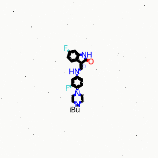 CCC(C)N1CCN(c2ccc(N/C=C3/C(=O)Nc4cc(F)ccc43)cc2F)CC1